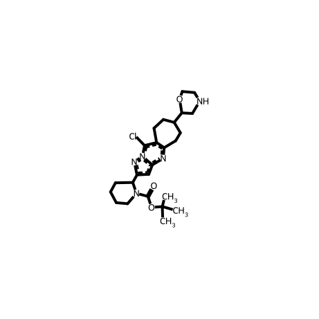 CC(C)(C)OC(=O)N1CCCCC1c1cc2nc3c(c(Cl)n2n1)CCC(C1CNCCO1)CC3